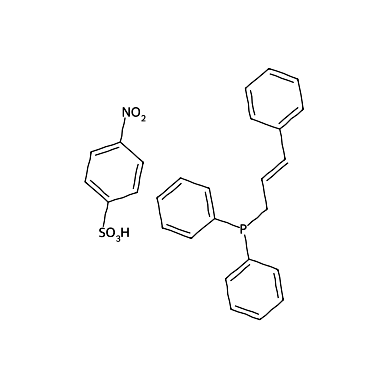 C(=Cc1ccccc1)CP(c1ccccc1)c1ccccc1.O=[N+]([O-])c1ccc(S(=O)(=O)O)cc1